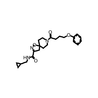 O=C(NCC1CC1)C1=NOC2(CCN(C(=O)CCCOc3ccccc3)CC2)C1